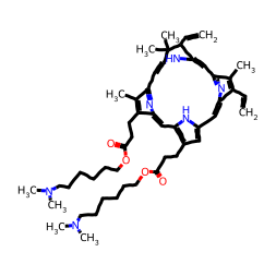 C=CC1=C(C)c2cc3[nH]c(cc4nc(cc5[nH]c(cc1n2)cc5CCC(=O)OCCCCCCN(C)C)C(CCC(=O)OCCCCCCN(C)C)=C4C)C(C)(C)C3C=C